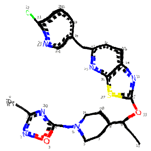 CC(C)c1noc(N2CCC(C(C)Oc3nc4ccc(-c5ccc(Cl)nc5)nc4s3)CC2)n1